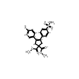 COC(=O)C1(C(=O)OC)CC(c2ccc(S(N)(=O)=O)cc2)=C(c2ccc(F)nc2)C1